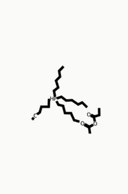 CCC(=O)OC(C)=O.CCCCCC[PH](CCCCCC)(CCCCCC)CCCCCC